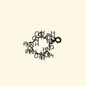 CC(C)CC1NC(=O)C(Cc2c[nH]c3ccccc23)NC(=O)C(C(C)C)NC(=O)C2NC(OC2C)C(CC(C)C)NC(=O)C(C(C)C)NC(=O)C(C(C)C)NC1=O